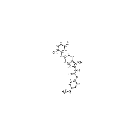 N#Cc1c(NC(=O)Cc2ccc(SN)cc2)sc2c1CCN(Cc1cc(Cl)ccc1Cl)C2